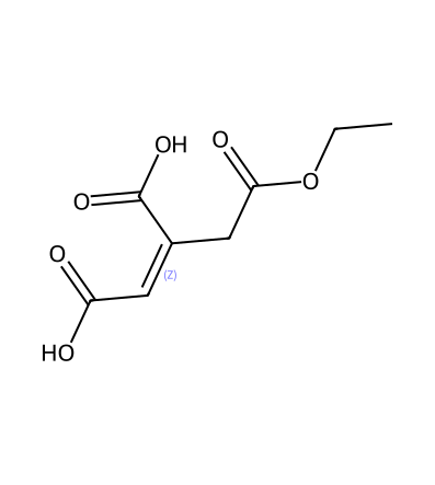 CCOC(=O)C/C(=C/C(=O)O)C(=O)O